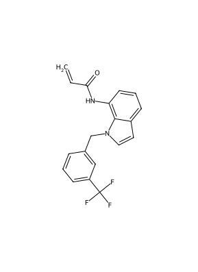 C=CC(=O)Nc1cccc2ccn(Cc3cccc(C(F)(F)F)c3)c12